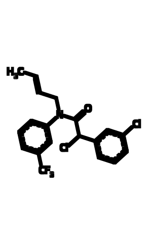 CC=CCN(C(=O)C(Cl)c1cccc(Cl)c1)c1cccc(C(F)(F)F)c1